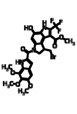 COC(=O)c1c(C(F)(F)F)[nH]c2c(O)cc3c(c12)C(CBr)CN3C(=O)c1cc2cc(OC)c(OC)c(OC)c2[nH]1